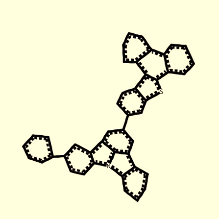 c1ccc(-c2ccc3c(c2)c2cc(-c4ccc5c(c4)sc4c6ccccc6c6ccccc6c54)cc4c5ccccc5n3c42)cc1